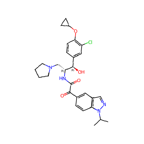 CC(C)n1ncc2cc(C(=O)C(=O)N[C@H](CN3CCCC3)[C@H](O)c3ccc(OC4CC4)c(Cl)c3)ccc21